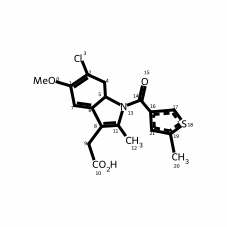 COC1=C(Cl)CC2C(=C1)C(CC(=O)O)=C(C)N2C(=O)c1csc(C)c1